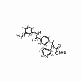 COC(=O)N(Cc1ccc(C(=O)Nc2cccc(N)c2)cc1)c1cccnc1